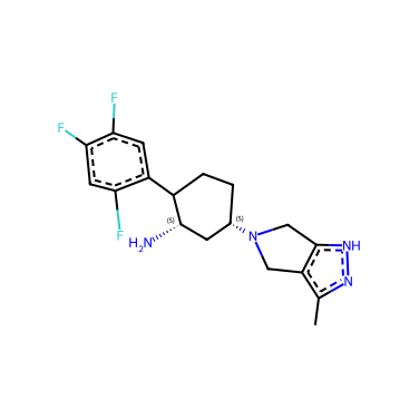 Cc1n[nH]c2c1CN([C@H]1CCC(c3cc(F)c(F)cc3F)[C@@H](N)C1)C2